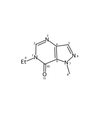 CCn1cnc2cnn(C)c2c1=O